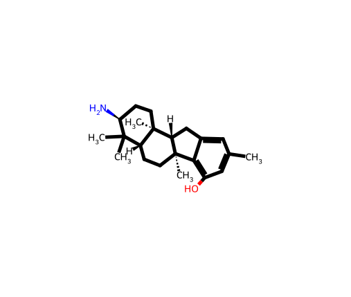 Cc1cc(O)c2c(c1)C[C@H]1[C@]3(C)CC[C@H](N)C(C)(C)[C@H]3CC[C@]21C